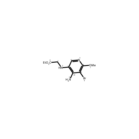 CCOC(=O)CNc1cnc(OC)c(Br)c1N